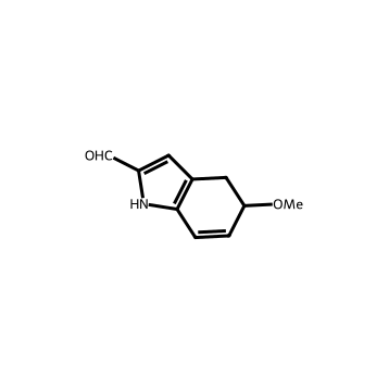 COC1C=Cc2[nH]c(C=O)cc2C1